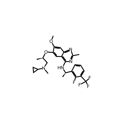 COc1cc2nc(C)nc(N[C@H](C)c3cccc(C(F)(F)F)c3F)c2cc1O[C@H](C)CN(C)C1CC1